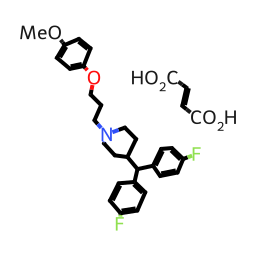 COc1ccc(OCCCN2CCC(C(c3ccc(F)cc3)c3ccc(F)cc3)CC2)cc1.O=C(O)C=CC(=O)O